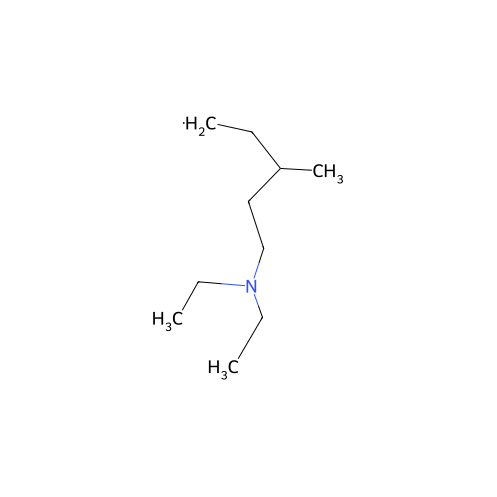 [CH2]CC(C)CCN(CC)CC